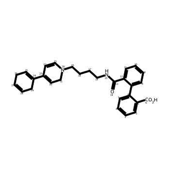 O=C(O)c1ccccc1-c1ccccc1C(=O)NCCCCN1C=CC(C2=CCC=CC2)=CC1